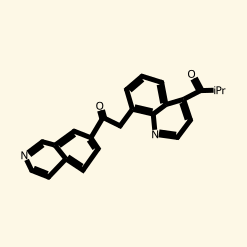 CC(C)C(=O)c1ccnc2c(CC(=O)c3ccc4ccncc4c3)cccc12